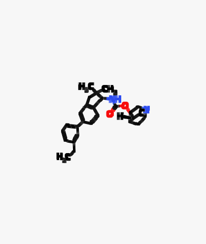 CCc1cccc(-c2ccc3c(c2)CC(C)(C)[C@H]3NC(=O)O[C@@H]2CN3CCC2CC3)c1